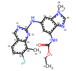 CCOC(=O)Nc1cc(Nc2ncc3ccc(F)c(C)c3n2)cc2c1ncn2C